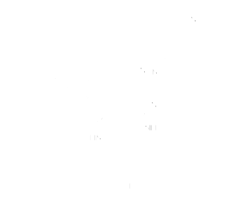 CN(C)CC1CCC([n+]2cc([N-]C(=O)Nc3cc(NC(=O)Cc4cccc(Cl)c4)cc(C(F)(F)F)c3)on2)CC1